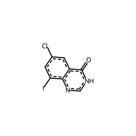 O=c1[nH]cnc2c(I)cc(Cl)cc12